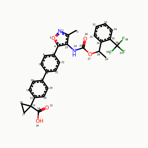 Cc1noc(-c2ccc(-c3ccc(C4(C(=O)O)CC4)cc3)cc2)c1NC(=O)OC(C)c1ccccc1C(F)(F)F